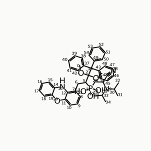 COC(OC)(C(Cc1cccc2c1Nc1ccccc1O2)P(O)(O)(O)CC(C#N)N(C(C)C)C(C)C)C(c1ccccc1)(c1ccccc1)c1ccccc1